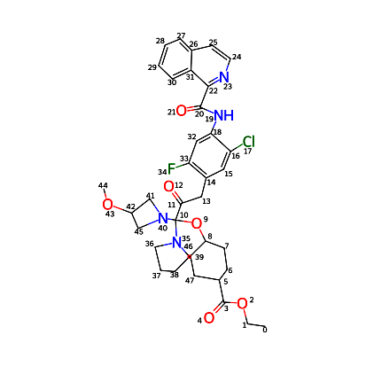 CCOC(=O)C1CCC(OC(C(=O)Cc2cc(Cl)c(NC(=O)c3nccc4ccccc34)cc2F)(N2CCCC2)N2CC(OC)C2)CC1